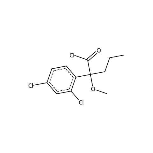 CCCC(OC)(C(=O)Cl)c1ccc(Cl)cc1Cl